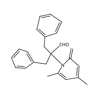 C=C1C=C(C)C=C(C)N1C(C=O)(Cc1ccccc1)Cc1ccccc1